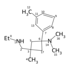 CCNCC1(C)CC(c2cccc(C)c2)(N(C)C)C1